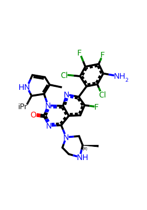 CC1=C(n2c(=O)nc(N3CCN[C@H](C)C3)c3cc(F)c(-c4c(Cl)c(N)c(F)c(F)c4Cl)nc32)C(C(C)C)NC=C1